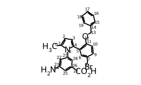 Cc1ccc(-c2cc(Br)ccc2OCc2ccccc2)n1-c1cc(N)cc(C(=O)O)c1